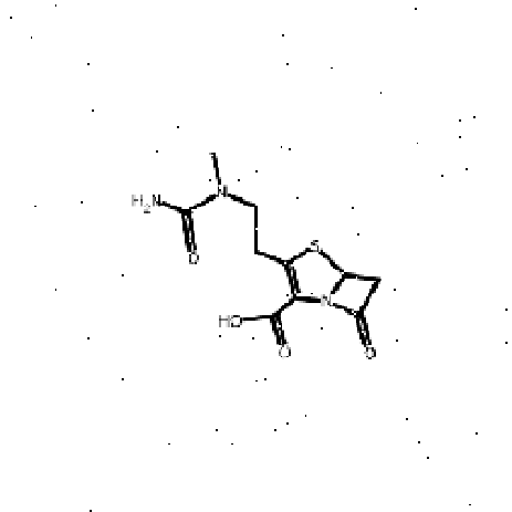 CN(CCC1=C(C(=O)O)N2C(=O)CC2S1)C(N)=O